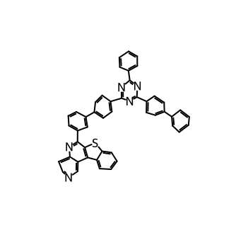 c1ccc(-c2ccc(-c3nc(-c4ccccc4)nc(-c4ccc(-c5cccc(-c6nc7ccncc7c7c6sc6ccccc67)c5)cc4)n3)cc2)cc1